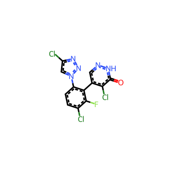 O=c1[nH]ncc(-c2c(-n3cc(Cl)nn3)ccc(Cl)c2F)c1Cl